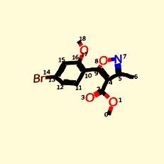 COC(=O)c1c(C)noc1-c1ccc(Br)cc1OC